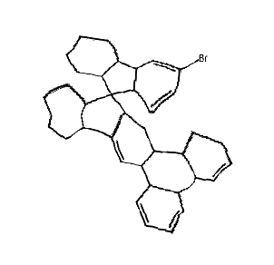 BrC1=CC2C3CCCCC3C3(C4CC5C(C=C4C4CCCCC43)C3C=CC=CC3C3C=CCCC35)C2C=C1